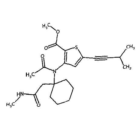 CNC(=O)CC1(N(C(C)=O)c2cc(C#CC(C)C)sc2C(=O)OC)CCCCC1